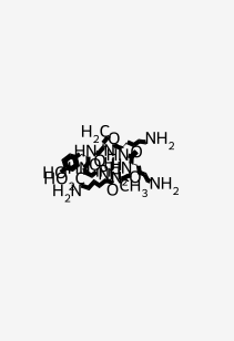 C=CC[C@H](NC(=O)[C@H](CCCCN)NC(=O)[C@H](CCCCN)NC(=O)[C@H](C)NC(=O)[C@@H](N)CCCCN)C(=O)N[C@@H](Cc1ccc(O)cc1)C(=O)N[C@@H](CC(C)C)C(=O)O